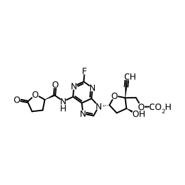 C#C[C@]1(COC(=O)O)O[C@@H](n2cnc3c(NC(=O)[C@H]4CCC(=O)O4)nc(F)nc32)C[C@@H]1O